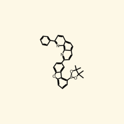 CC1(C)OB(c2cccc3oc4ccc(-c5ccc6ccc7ccc(-c8ccccc8)nc7c6n5)cc4c23)OC1(C)C